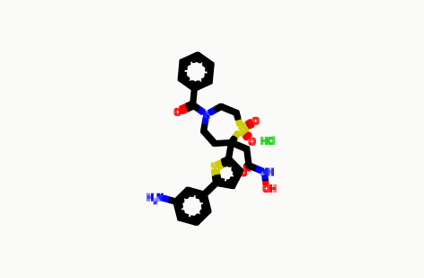 Cl.Nc1cccc(-c2ccc(C3(CC(=O)NO)CCN(C(=O)c4ccccc4)CCS3(=O)=O)s2)c1